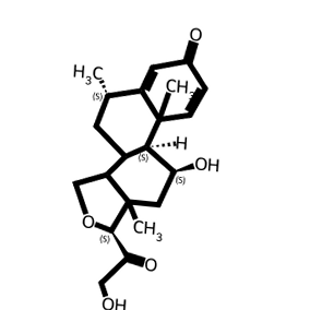 C[C@H]1CC2C3CO[C@H](C(=O)CO)C3(C)C[C@H](O)[C@@H]2C2(C)C=CC(=O)C=C12